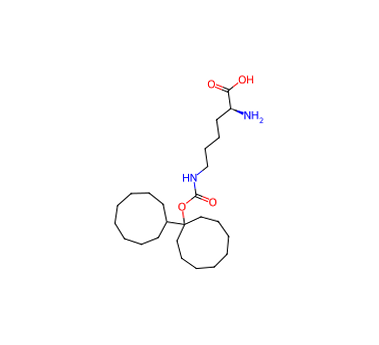 N[C@@H](CCCCNC(=O)OC1(C2CCCCCCCC2)CCCCCCCC1)C(=O)O